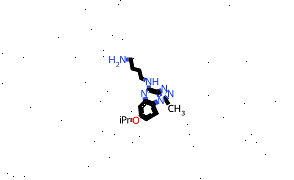 Cc1nnc2c(NCCCCN)nc3cc(OC(C)C)ccc3n12